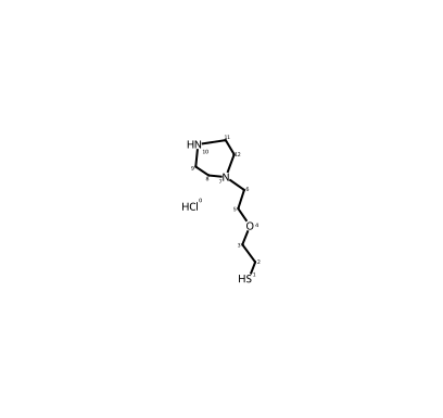 Cl.SCCOCCN1CCNCC1